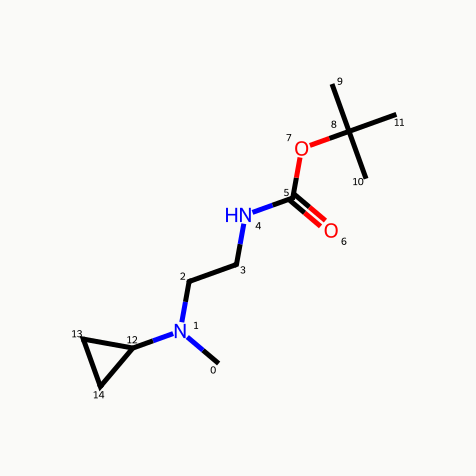 CN(CCNC(=O)OC(C)(C)C)C1CC1